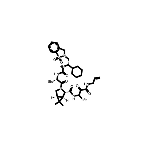 C=CCNC(=O)C(=O)C(CCC)NC(=O)[C@@H]1[C@@H]2[C@H](CN1C(=O)[C@@H](NC(=O)N[C@H](CN1Cc3ccccc3S1(=O)=O)C1CCCCC1)C(C)(C)C)C2(C)C